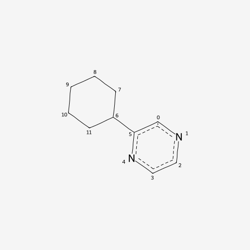 [c]1nccnc1C1CCCCC1